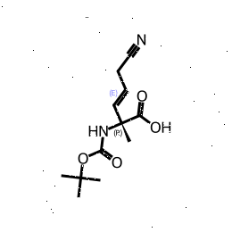 CC(C)(C)OC(=O)N[C@](C)(/C=C/CC#N)C(=O)O